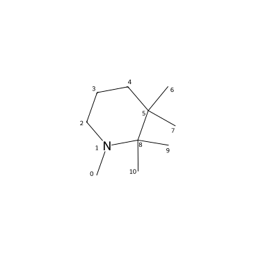 CN1CCCC(C)(C)C1(C)C